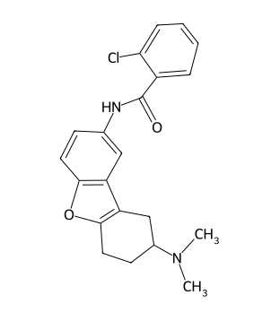 CN(C)C1CCc2oc3ccc(NC(=O)c4ccccc4Cl)cc3c2C1